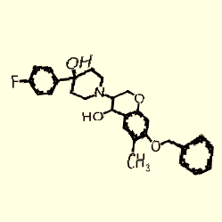 Cc1cc2c(cc1OCc1ccccc1)OCC(N1CCC(O)(c3ccc(F)cc3)CC1)C2O